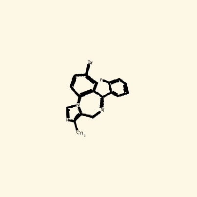 Cc1ncn2c1CN=C(c1ccccc1F)c1cc(Br)ccc1-2